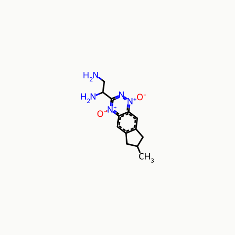 CC1Cc2cc3c(cc2C1)[n+]([O-])c(C(N)CN)n[n+]3[O-]